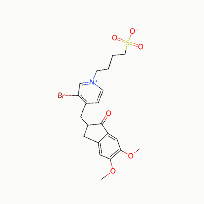 COc1cc2c(cc1OC)C(=O)C(Cc1cc[n+](CCCCS(=O)(=O)[O-])cc1Br)C2